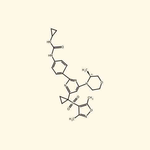 Cc1noc(C)c1S(=O)(=O)C1(c2cc(N3CCOC[C@@H]3C)nc(-c3ccc(NC(=O)NC4CC4)cc3)n2)CC1